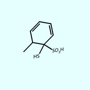 CC1C=CC=CC1(S)S(=O)(=O)O